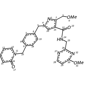 COCc1nn(Cc2ccc(Cn3ccccc3=O)cc2)cc1C(=O)NCc1nccc(OC)n1